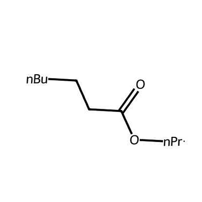 CC[CH]OC(=O)CCCCCC